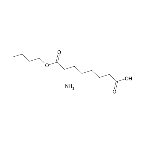 CCCCOC(=O)CCCCCCC(=O)O.N